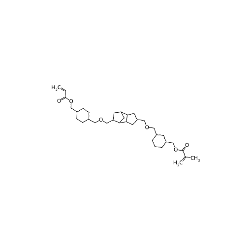 C=CC(=O)OCC1CCC(COCC2CC3CC2C2CC(COCC4CCCC(COC(=O)C(=C)C)C4)CC32)CC1